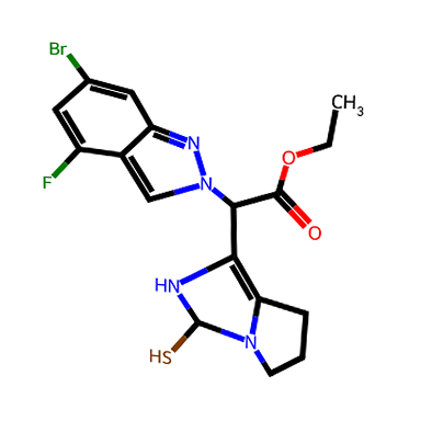 CCOC(=O)C(C1=C2CCCN2C(S)N1)n1cc2c(F)cc(Br)cc2n1